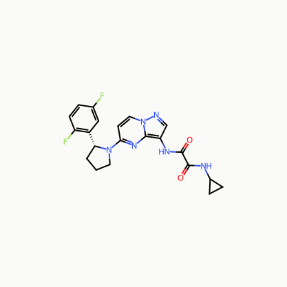 O=C(Nc1cnn2ccc(N3CCC[C@@H]3c3cc(F)ccc3F)nc12)C(=O)NC1CC1